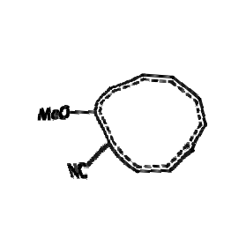 COc1ccccccccc1C#N